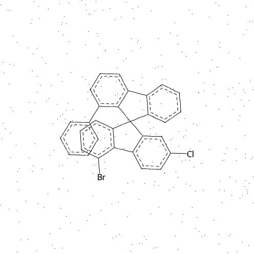 Clc1ccc2c(c1)C1(c3ccccc3-c3cccc(-c4ccccc4)c31)c1cccc(Br)c1-2